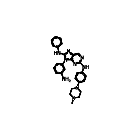 CN1CCN(c2ccc(Nc3ncc4nc(Nc5ccccc5)n(-c5cccc(N)c5)c4n3)cc2)CC1